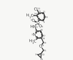 Cc1nc(NS(=O)(=O)c2cccc(Cl)c2C)ccc1COCC1CC1